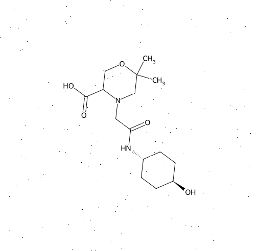 CC1(C)CN(CC(=O)N[C@H]2CC[C@H](O)CC2)C(C(=O)O)CO1